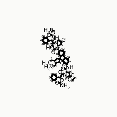 CCCCC1(CCCC)c2cc(NC(=O)[C@@H]3CC4(CN3C(=O)[C@H](OC(N)=O)c3ccccc3)OCCO4)ccc2-c2ccc(N(C(=O)O)[C@H]3CC(=O)CN3C(=O)[C@H](NC(=O)OC)c3ccccc3)cc21